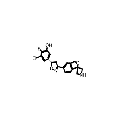 Oc1cc([C@@H]2CC(c3ccc4c(c3)COC43CNC3)=NO2)cc(Cl)c1F